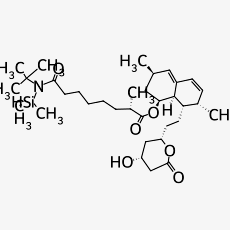 C[C@H]1C=C2C=C[C@H](C)[C@H](CC[C@H]3C[C@@H](O)CC(=O)O3)[C@H]2[C@@H](OC(=O)[C@@H](C)CCCCCC(=O)N([SiH](C)C)C(C)(C)C)C1